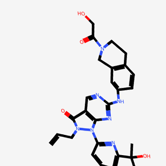 C=CCn1c(=O)c2cnc(Nc3ccc4c(c3)CN(C(=O)CO)CC4)nc2n1-c1cccc(C(C)(C)O)n1